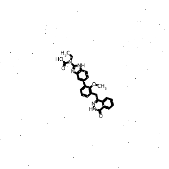 CCN(C(=O)O)c1nc2cc(-c3cccc(Cc4n[nH]c(=O)c5ccccc45)c3OC)ccc2[nH]1